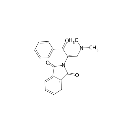 CN(C)/C=C(\C(=O)c1ccccc1)N1C(=O)c2ccccc2C1=O